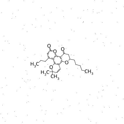 CCCCCC1CC(=O)c2c(c3c(c4c(CCC)cc(=O)oc24)OC(C)(C)C=C3)O1